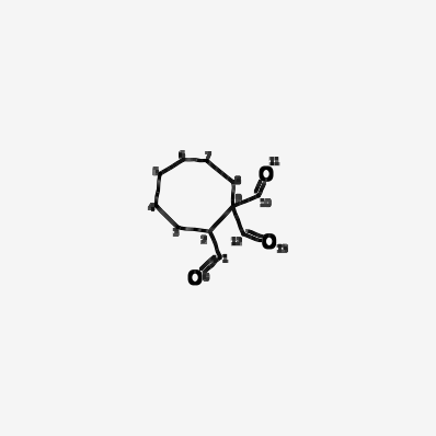 O=CC1CCCCCCC1(C=O)C=O